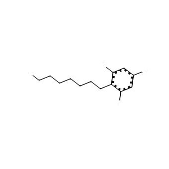 CCCCCCCCc1c(F)cc(Br)cc1F